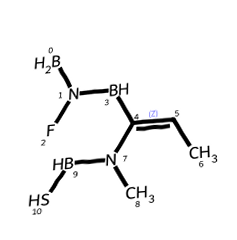 BN(F)B/C(=C/C)N(C)BS